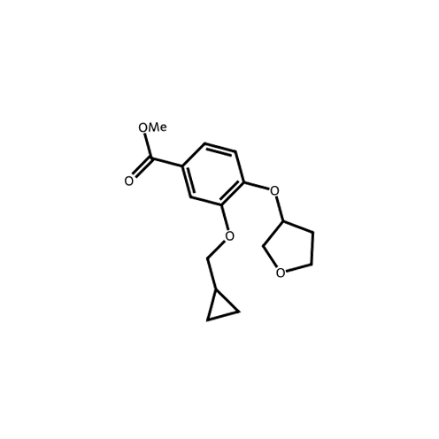 COC(=O)c1ccc(OC2CCOC2)c(OCC2CC2)c1